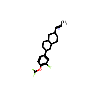 C/C=C/C1CCC2CC(c3ccc(OC(F)F)c(F)c3)CCC2C1